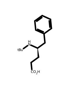 CC(C)(C)N[C@H](CCC(=O)O)Cc1ccccc1